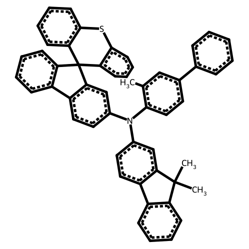 Cc1cc(-c2ccccc2)ccc1N(c1ccc2c(c1)C(C)(C)c1ccccc1-2)c1ccc2c(c1)C1(c3ccccc3Sc3ccccc31)c1ccccc1-2